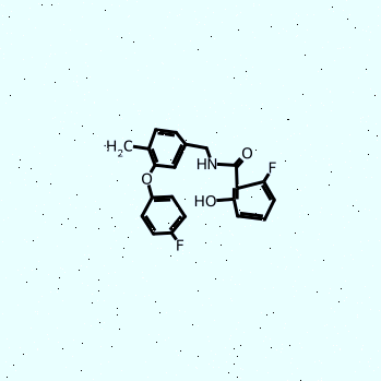 [CH2]c1ccc(CNC(=O)c2c(O)cccc2F)cc1Oc1ccc(F)cc1